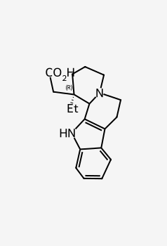 CC[C@]1(CC(=O)O)CCCN2CCc3c([nH]c4ccccc34)C21